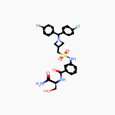 NC(=O)[C@H](CO)NC(=O)c1cccc(NS(=O)(=O)CC2CN(C(c3ccc(Cl)cc3)c3ccc(Cl)cc3)C2)c1